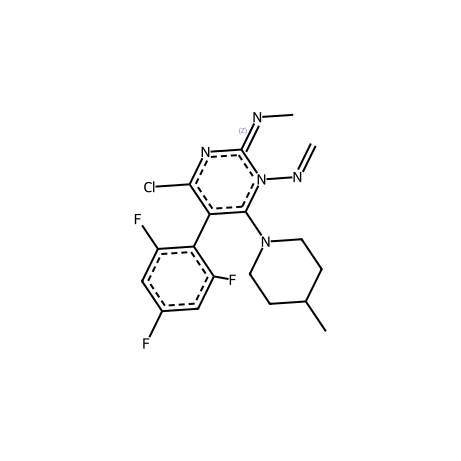 C=Nn1c(N2CCC(C)CC2)c(-c2c(F)cc(F)cc2F)c(Cl)n/c1=N/C